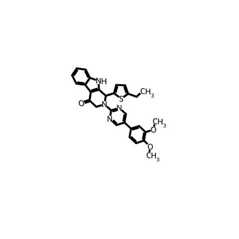 CCc1ccc(C2c3[nH]c4ccccc4c3C(=O)CN2c2ncc(-c3ccc(OC)c(OC)c3)cn2)s1